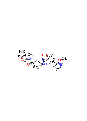 COc1ncccc1-c1ccc(O)c(-c2nc3cc(C(=O)N[C@H](CO)C(C)(C)C)ccc3[nH]2)c1